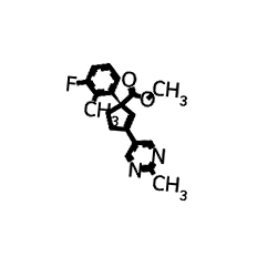 COC(=O)[C@]1(c2cccc(F)c2C)C=C(c2cnc(C)nc2)CC1